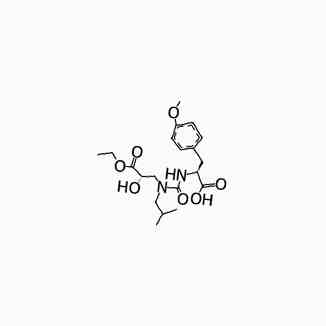 CCOC(=O)[C@@H](O)CN(CC(C)C)C(=O)N[C@@H](Cc1ccc(OC)cc1)C(=O)O